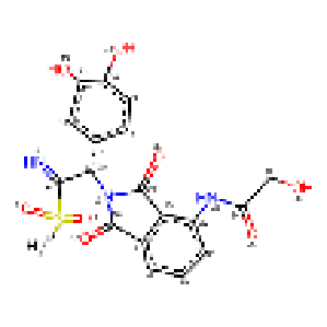 CS(=O)(=O)C(=N)[C@H](c1ccc(O)c(O)c1)N1C(=O)c2cccc(NC(=O)CO)c2C1=O